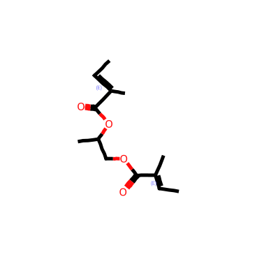 C/C=C(\C)C(=O)OCC(C)OC(=O)/C(C)=C/C